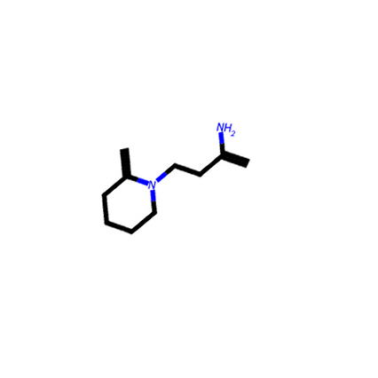 C=C(N)CCN1CCCCC1=C